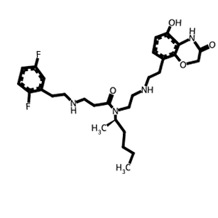 CCCC[C@@H](C)N(CCNCCc1ccc(O)c2c1OCC(=O)N2)C(=O)CCNCCc1cc(F)ccc1F